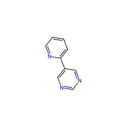 [c]1ccc(-c2cn[c]nc2)nc1